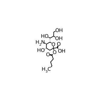 CCCCC(=O)OC1(C(=O)O)C[C@H](O)[C@@H](N)[C@H](C(O)C(O)CO)O1